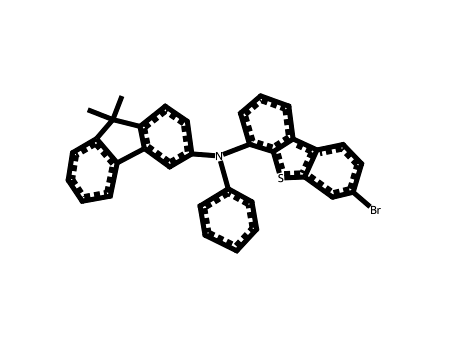 CC1(C)c2ccccc2-c2cc(N(c3ccccc3)c3cccc4c3sc3cc(Br)ccc34)ccc21